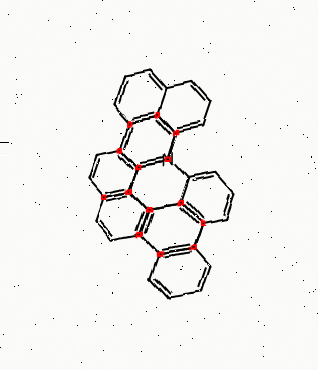 c1ccc(-c2ccccc2-c2c(-c3ccccc3)cccc2N(c2ccccc2-c2ccccc2)c2cccc3ccccc23)cc1